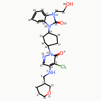 O=c1c(Cl)c(NC[C@@H]2CCCOC2)cnn1C1CCC(n2c(=O)n(CCO)c3ccccc32)CC1